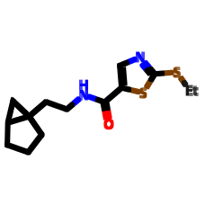 CCSc1ncc(C(=O)NCCC23CCCC2C3)s1